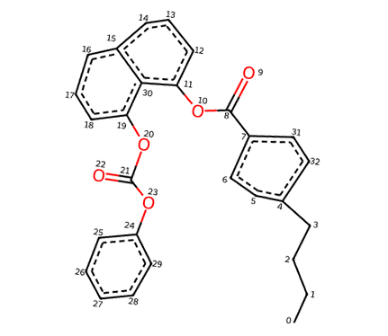 CCCCc1ccc(C(=O)Oc2cccc3cccc(OC(=O)Oc4ccccc4)c23)cc1